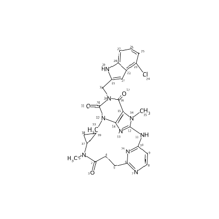 CN(C(=O)CCc1nccc(Nc2nc3c(c(=O)n(Cc4cc5c(Cl)cccc5[nH]4)c(=O)n3C)n2C)n1)C1CC1